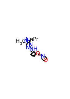 CCCc1nn(C)c2cnc(NCc3cccc(OCCN4CCOCC4)c3)nc12